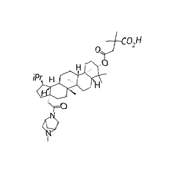 CC(C)[C@@H]1CC[C@]2(CC(=O)N3CC4CC3CN4C)CC[C@]3(C)[C@H](CC[C@@H]4[C@@]5(C)CC[C@H](OC(=O)CC(C)(C)C(=O)O)C(C)(C)[C@@H]5CC[C@]43C)[C@@H]12